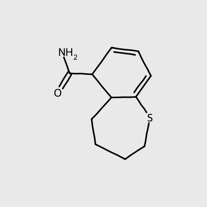 NC(=O)C1C=CC=C2SCCCCC21